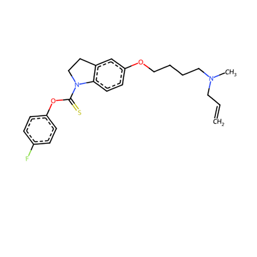 C=CCN(C)CCCCOc1ccc2c(c1)CCN2C(=S)Oc1ccc(F)cc1